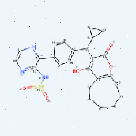 O=c1oc2c(c(O)c1C(c1ccc(-c3nccnc3N[SH](=O)=O)cc1)C1CC1)CCCCCC2